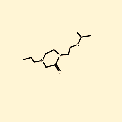 CCCN1CCN(CCOC(C)C)C(=O)C1